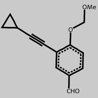 COCOc1ccc(C=O)cc1C#CC1CC1